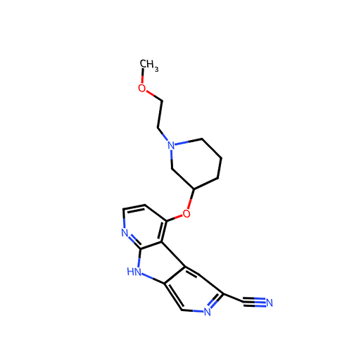 COCCN1CCCC(Oc2ccnc3[nH]c4cnc(C#N)cc4c23)C1